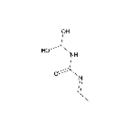 CC=NC(=O)NC(O)O